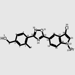 Cc1cc(CO)ccc1-c1noc(-c2ccc3c(c2)c(Cl)cn3C(C)C)n1